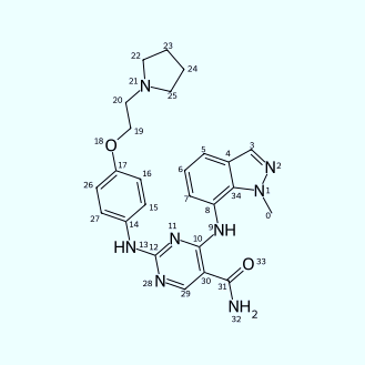 Cn1ncc2cccc(Nc3nc(Nc4ccc(OCCN5CCCC5)cc4)ncc3C(N)=O)c21